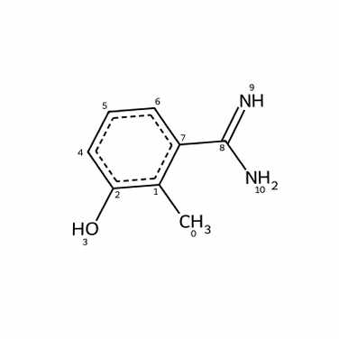 Cc1c(O)cccc1C(=N)N